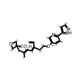 C=C/C(=C\C=C(/C)CC1(C(=O)O)COC1)CCOc1ccc(-c2ccn[nH]2)nc1